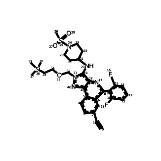 C#Cc1ccc2c(c1)c(-c1c(F)cccc1F)nc1c(NC3CCN(S(C)(=O)=O)CC3)n(COCC[Si](C)(C)C)nc12